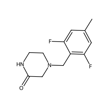 Cc1cc(F)c(CN2CCNC(=O)C2)c(F)c1